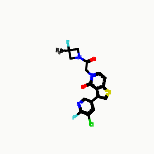 CC1(F)CN(C(=O)Cn2ccc3scc(-c4cnc(F)c(Cl)c4)c3c2=O)C1